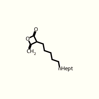 C=C1OC(=O)C1CCCCCCCCCCCC